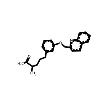 CC(=O)C(C)CCCc1cccc(OCc2ccc3ccccc3n2)c1